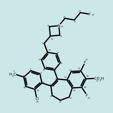 Cc1ccc(C2=C(c3ccc(CC4CN(CCCF)C4)cc3)c3cc(F)c(C(=O)O)c(F)c3CCC2)c(Cl)c1